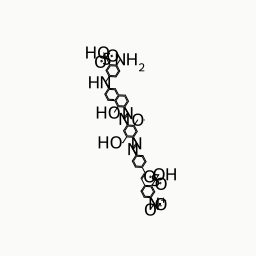 COc1cc(N=Nc2ccc(C=Cc3ccc([N+](=O)[O-])cc3S(=O)(=O)O)cc2)c(CO)cc1N=Nc1ccc2cc(Nc3ccc(N)c(S(=O)(=O)O)c3)ccc2c1O